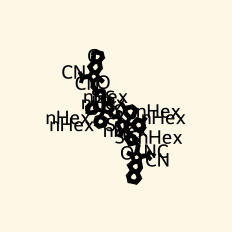 [C-]#[N+]/C(C#N)=C1\C(=C\c2cc3sc4c(c3s2)C(c2cc(CCCCCC)cc(CCCCCC)c2)(c2cc(CCCCCC)cc(CCCCCC)c2)c2c-4sc3c4c(sc23)-c2sc3cc(/C=C5\C(=O)c6cc7ccccc7cc6\C5=C(\C#N)[N+]#[C-])sc3c2C4(c2cc(CCCCCC)cc(CCCCCC)c2)c2cc(CCCCCC)cc(CCCCCC)c2)C(=O)c2cc3ccccc3cc21